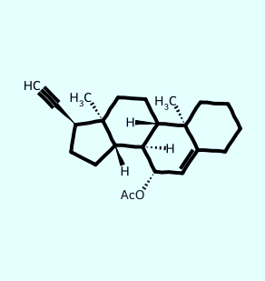 C#C[C@@H]1CC[C@H]2[C@@H]3[C@@H](OC(C)=O)C=C4CCCC[C@]4(C)[C@H]3CC[C@]12C